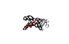 Bc1c(B)c(C)c(B)c(-c2ccc(-c3ccccc3)cc2-n2c3ccccc3c3ccc4c5ccccc5n(-c5nc(-c6ccccc6)nc(-c6ccc(-c7ccccc7)cc6)n5)c4c32)c1B